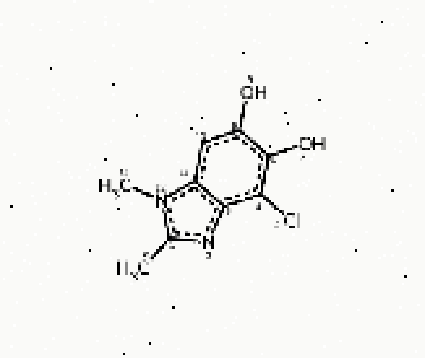 Cc1nc2c(Cl)c(O)c(O)cc2n1C